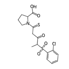 CC(C(=O)CC(=S)N1CCCC1C(=O)O)S(=O)(=O)c1ccccc1Cl